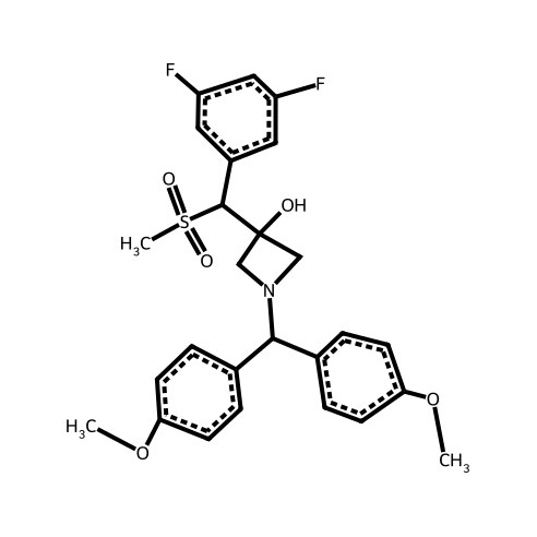 COc1ccc(C(c2ccc(OC)cc2)N2CC(O)(C(c3cc(F)cc(F)c3)S(C)(=O)=O)C2)cc1